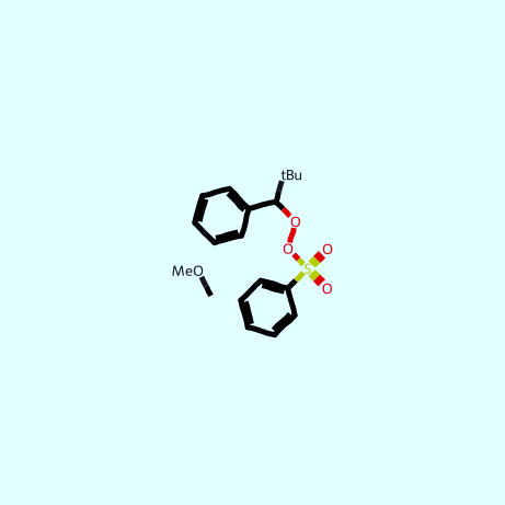 CC(C)(C)C(OOS(=O)(=O)c1ccccc1)c1ccccc1.COC